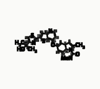 CNC(=O)N1C(C)=CC2C=C(Oc3ccnc4cc(-c5nc(C(C)(C)O)cs5)sc34)C=CC21